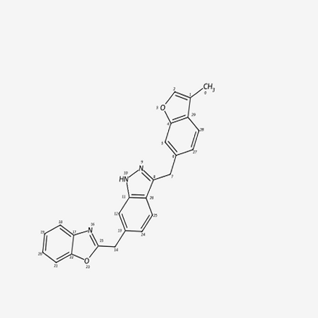 Cc1coc2cc(Cc3n[nH]c4cc(Cc5nc6ccccc6o5)ccc34)ccc12